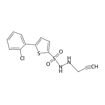 C#CCNNS(=O)(=O)c1ccc(-c2ccccc2Cl)s1